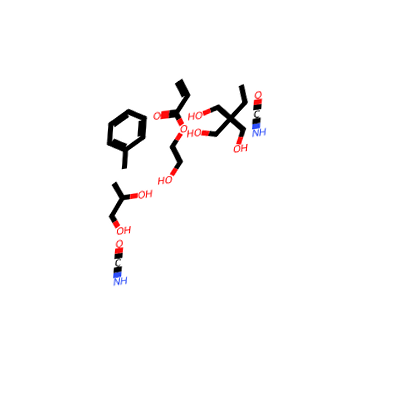 C=CC(=O)OCCO.CC(O)CO.CCC(CO)(CO)CO.Cc1ccccc1.N=C=O.N=C=O